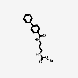 CC(C)(C)OC(=O)NCCCNC(=O)c1ccc(-c2ccccc2)cc1